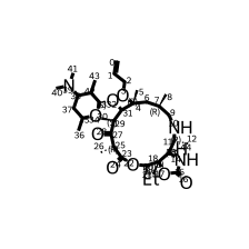 C=CCO[C@]1(C)C[C@@H](C)CN[C@H](C)[C@H]2NC(=O)O[C@]2(C)[C@@H](CC)OC(=O)[C@H](C)C(=O)[C@@H](C)C1O[C@@H]1OC(C)CC(N(C)C)C1C